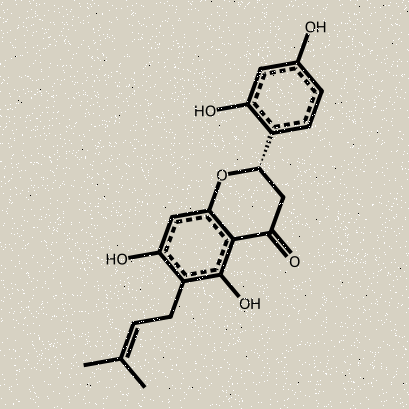 CC(C)=CCc1c(O)cc2c(c1O)C(=O)C[C@@H](c1ccc(O)cc1O)O2